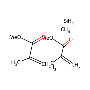 C.C=C(C)C(=O)OC.C=C(C)C(=O)OC.[SiH4]